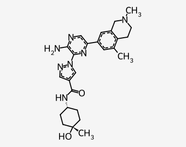 Cc1cc(-c2cnc(N)c(-n3cc(C(=O)N[C@H]4CC[C@@](C)(O)CC4)cn3)n2)cc2c1CCN(C)C2